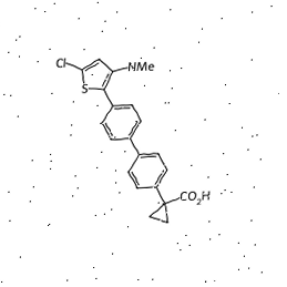 CNc1cc(Cl)sc1-c1ccc(-c2ccc(C3(C(=O)O)CC3)cc2)cc1